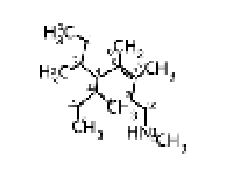 CCC(C)C(/C(C)=C(/C)CCNC)C(C)CC